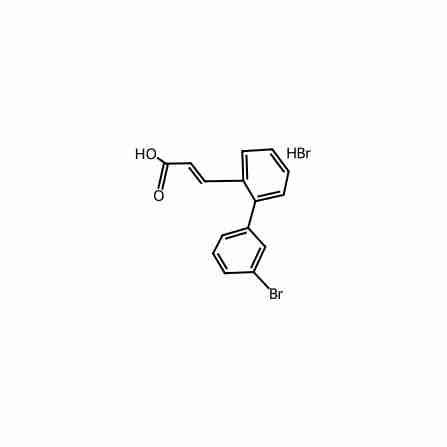 Br.O=C(O)/C=C/c1ccccc1-c1cccc(Br)c1